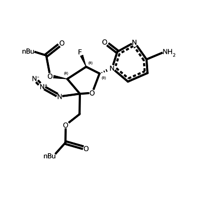 CCCCC(=O)OCC1(N=[N+]=[N-])O[C@@H](n2ccc(N)nc2=O)[C@H](F)[C@@H]1OC(=O)CCCC